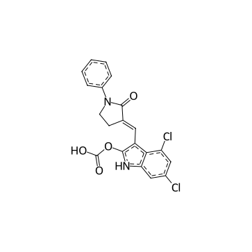 O=C(O)Oc1[nH]c2cc(Cl)cc(Cl)c2c1/C=C1\CCN(c2ccccc2)C1=O